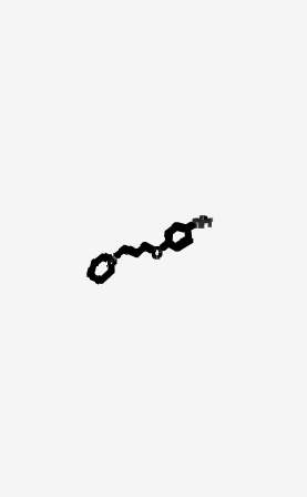 C[CH]Cc1ccc(OCCCN2CCCCC2)cc1